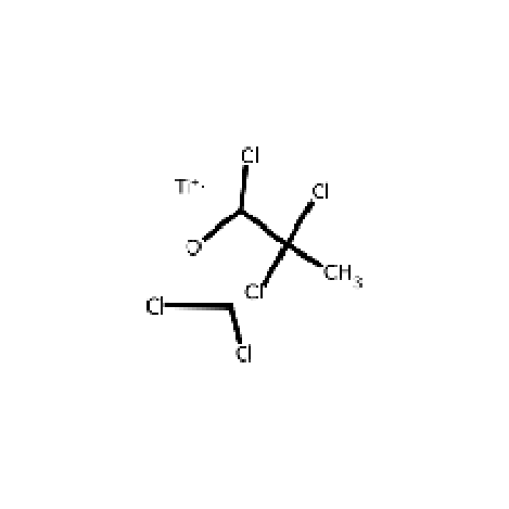 CC(Cl)(Cl)C([O-])Cl.ClCCl.[Ti+]